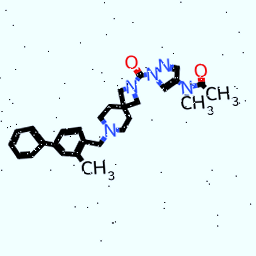 CC(=O)N(C)c1cnn(C(=O)N2CC3(CCN(Cc4ccc(-c5ccccc5)cc4C)CC3)C2)c1